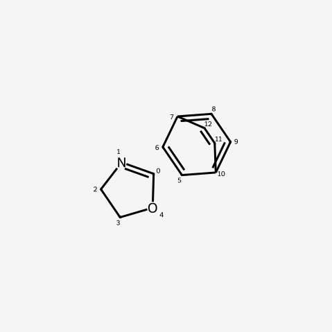 C1=NCCO1.c1cc2ccc1cc2